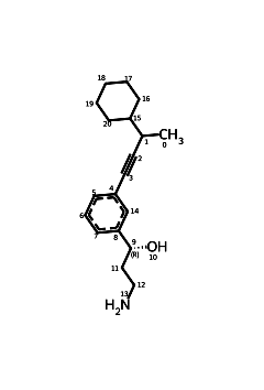 CC(C#Cc1cccc([C@H](O)CCN)c1)C1CCCCC1